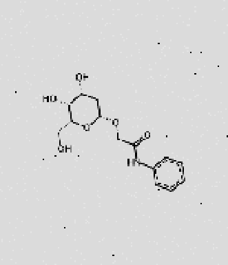 O=C(CO[C@H]1C[C@@H](O)[C@@H](O)[C@@H](CO)O1)Nc1ccccc1